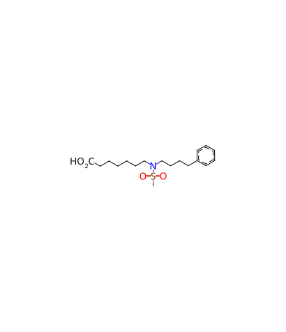 CS(=O)(=O)N(CCCCCCC(=O)O)CCCCc1ccccc1